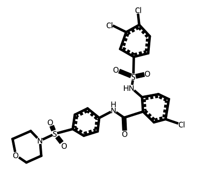 O=C(Nc1ccc(S(=O)(=O)N2CCOCC2)cc1)c1cc(Cl)ccc1NS(=O)(=O)c1ccc(Cl)c(Cl)c1